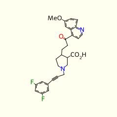 COc1ccc2nccc(C(=O)CCC3CCN(CC#Cc4cc(F)cc(F)c4)CC3C(=O)O)c2c1